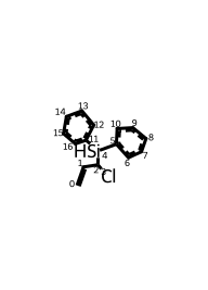 C=CC(Cl)[SiH](c1ccccc1)c1ccccc1